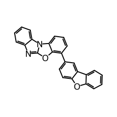 c1ccc2c(c1)nc1oc3c(-c4ccc5oc6ccccc6c5c4)cccc3n12